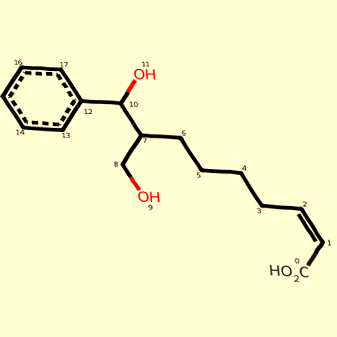 O=C(O)/C=C\CCCCC(CO)C(O)c1ccccc1